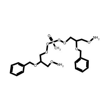 CP(=O)(OOCC(CON)OCc1ccccc1)OOCC(CON)OCc1ccccc1